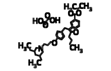 CCCCc1oc2ccc(C(=O)OC(C)C)cc2c1Cc1ccc(OCCCN2CC(CC)CC(CC)C2)cc1.O=C(O)C(=O)O